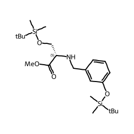 COC(=O)[C@H](CO[Si](C)(C)C(C)(C)C)NCc1cccc(O[Si](C)(C)C(C)(C)C)c1